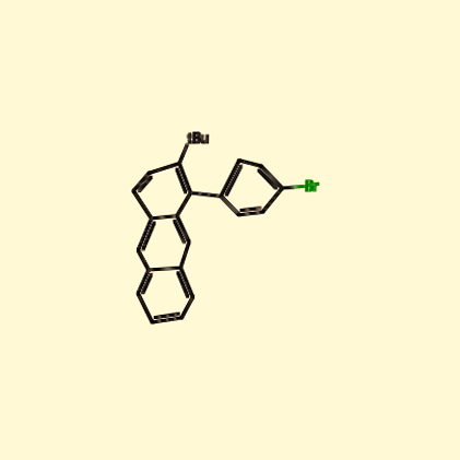 CC(C)(C)c1ccc2cc3ccccc3cc2c1-c1ccc(Br)cc1